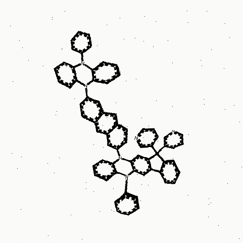 c1ccc(N2c3ccccc3N(c3ccc4cc5cc(N6c7ccccc7N(c7ccccc7)c7cc8c(cc76)C(c6cccnc6)(c6cccnc6)c6ccccc6-8)ccc5cc4c3)c3ccccc32)cc1